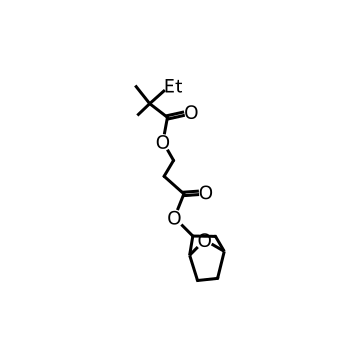 CCC(C)(C)C(=O)OCCC(=O)OC1CC2CCC1O2